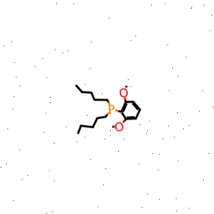 CCCCCP(CCCCC)c1c(OC)cccc1OC